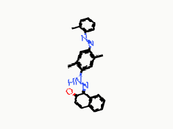 Cc1ccccc1/N=N/c1cc(C)c(N/N=C2\C(=O)C=Cc3ccccc32)cc1C